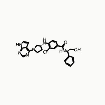 O=C(N[C@@H](CO)c1ccccc1)c1ccc(N[C@@H]2CCN(c3ncnc4[nH]ccc34)C2)c(Cl)c1